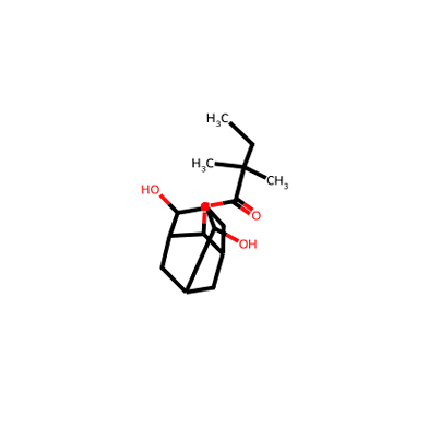 CCC(C)(C)C(=O)OC1C2CC3CC1C(O)C(C2)C3O